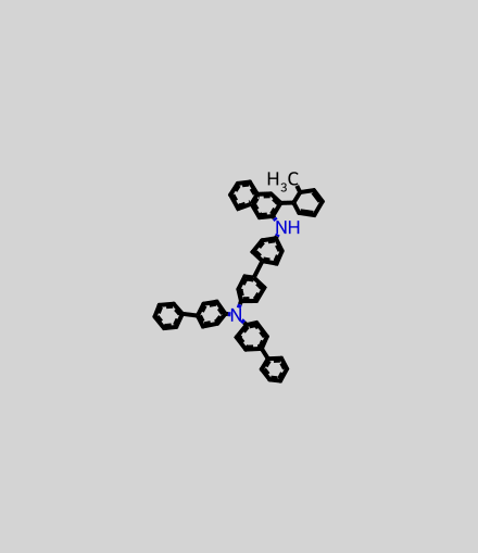 CC1C=CC=CC1c1cc2ccccc2cc1Nc1ccc(-c2ccc(N(c3ccc(-c4ccccc4)cc3)c3ccc(-c4ccccc4)cc3)cc2)cc1